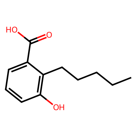 CCCCCc1c(O)cccc1C(=O)O